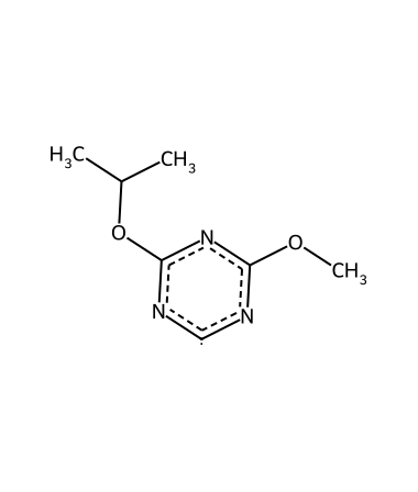 COc1n[c]nc(OC(C)C)n1